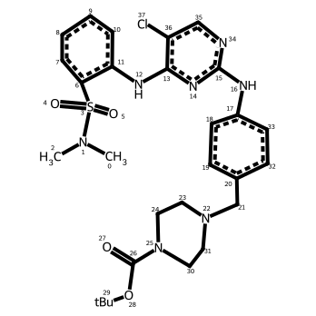 CN(C)S(=O)(=O)c1ccccc1Nc1nc(Nc2ccc(CN3CCN(C(=O)OC(C)(C)C)CC3)cc2)ncc1Cl